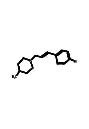 CC1CCN(C/C=C/c2ccc(Br)cc2)CC1